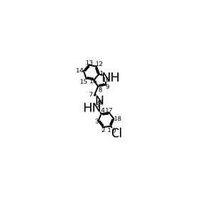 Clc1ccc(N/N=C/c2c[nH]c3ccccc23)cc1